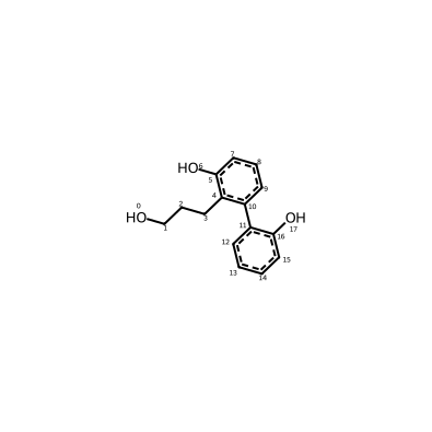 OCCCc1c(O)cccc1-c1ccccc1O